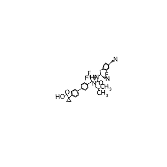 CC(C)CN(C(=O)N[C@H](C#N)Cc1ccc(C#N)cc1F)[C@@H](c1ccc(-c2ccc(C3(C(=O)O)CC3)cc2)cc1)C(F)(F)F